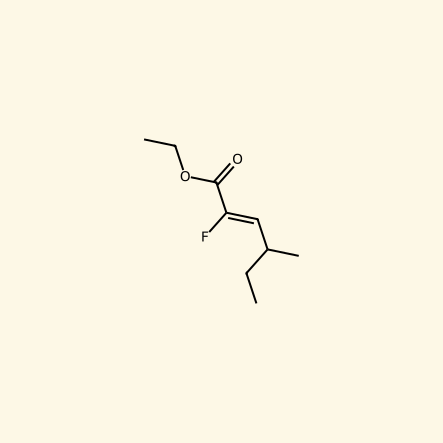 CCOC(=O)/C(F)=C/C(C)CC